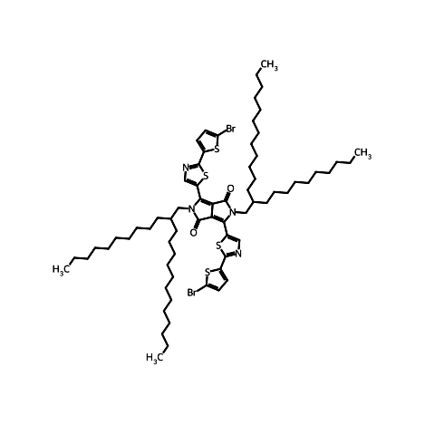 CCCCCCCCCCCCC(CCCCCCCCCC)CN1C(=O)C2=C(c3cnc(-c4ccc(Br)s4)s3)N(CC(CCCCCCCCCC)CCCCCCCCCCCC)C(=O)C2=C1c1cnc(-c2ccc(Br)s2)s1